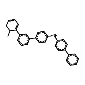 CC1CC=CC=C1c1cccc(-c2ccc(Nc3ccc(-c4ccccc4)cc3)cc2)c1